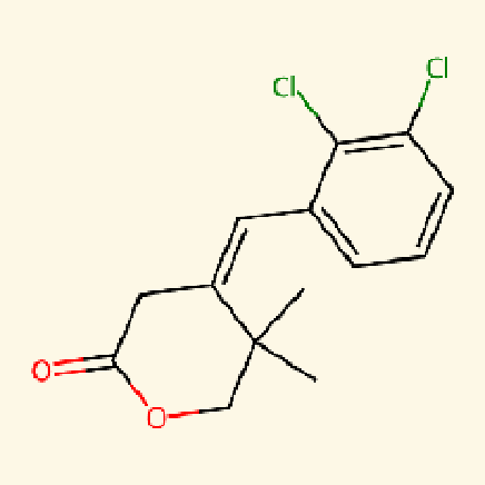 CC1(C)COC(=O)CC1=Cc1cccc(Cl)c1Cl